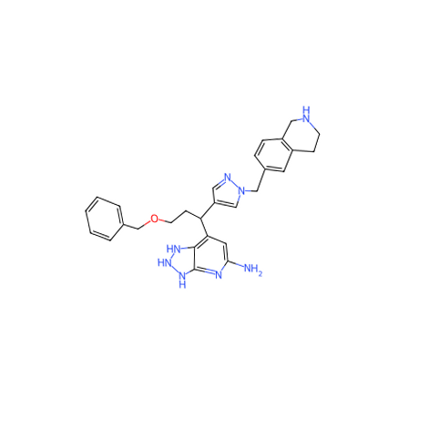 Nc1cc(C(CCOCc2ccccc2)c2cnn(Cc3ccc4c(c3)CCNC4)c2)c2c(n1)NNN2